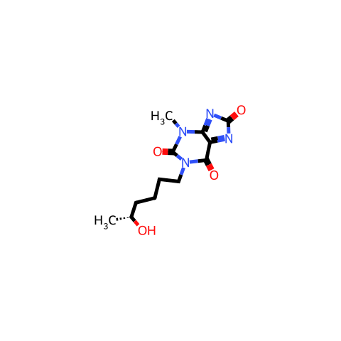 C[C@@H](O)CCCCn1c(=O)c2c(n(C)c1=O)=NC(=O)N=2